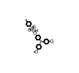 COc1ccc(P(c2ccc(OC)cc2)c2ccc(OC)cc2)cc1.Cc1ccc(S(=O)(=O)O)cc1